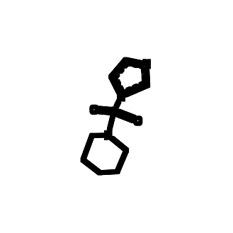 O=S(=O)(N1CCCCC1)n1ccnc1